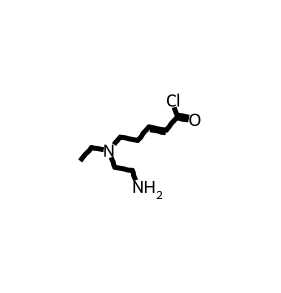 CCN(CCN)CCC=CC(=O)Cl